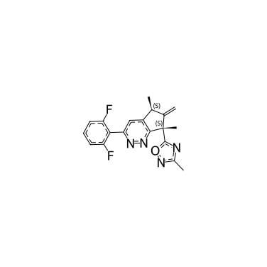 C=C1[C@H](C)c2cc(-c3c(F)cccc3F)nnc2[C@@]1(C)c1nc(C)no1